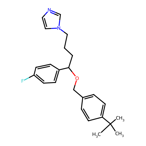 CC(C)(C)c1ccc(COC(CCCn2ccnc2)c2ccc(F)cc2)cc1